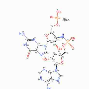 CNP(=O)(O)OC[C@H]1O[C@@H](N2C=NC3C(=O)NC(N)=NC32)[C@H](O)[C@@H]1NP(=O)(O)OC[C@@H]1C[C@@H](O)[C@H](n2cnc3c(N)ncnc32)O1